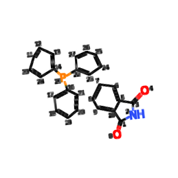 O=C1NC(=O)c2ccccc21.c1ccc(P(c2ccccc2)c2ccccc2)cc1